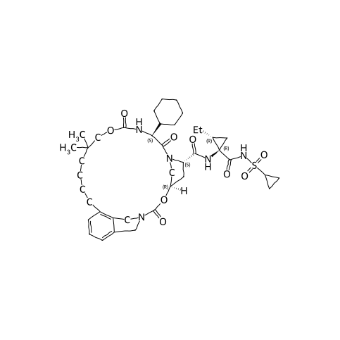 CC[C@@H]1C[C@]1(NC(=O)[C@@H]1C[C@@H]2CN1C(=O)[C@H](C1CCCCC1)NC(=O)OCC(C)(C)CCCCc1cccc3c1CN(C3)C(=O)O2)C(=O)NS(=O)(=O)C1CC1